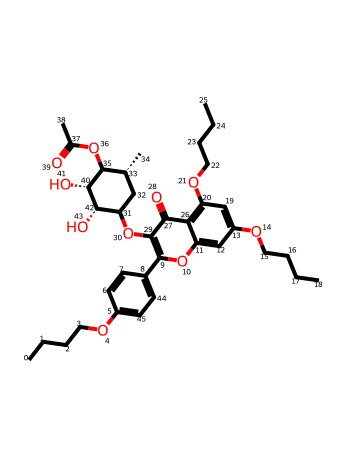 CCCCOc1ccc(-c2oc3cc(OCCCC)cc(OCCCC)c3c(=O)c2OC2C[C@@H](C)C(OC(C)=O)[C@@H](O)[C@H]2O)cc1